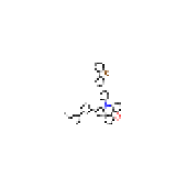 C=C/C(=C\C=C/C)c1cccc(-c2cccc(N(c3ccc(-c4ccc5c(c4)sc4ccccc45)cc3)c3cccc4oc5ccccc5c34)c2)c1